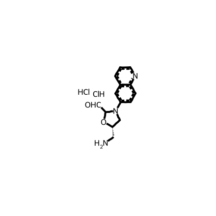 Cl.Cl.NC[C@H]1CN(c2ccc3ncccc3c2)C(C=O)O1